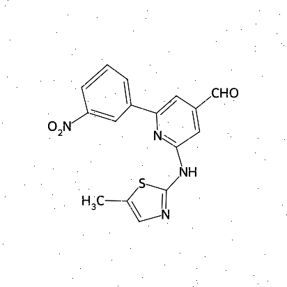 Cc1cnc(Nc2cc(C=O)cc(-c3cccc([N+](=O)[O-])c3)n2)s1